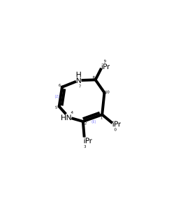 CC(C)/C1=C(\C(C)C)N/C=C\NC(C(C)C)C1